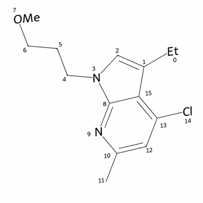 CCc1cn(CCCOC)c2nc(C)cc(Cl)c12